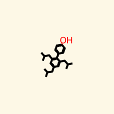 CC(C)Cc1cc(CC(C)C)c(-c2ccc(O)cc2)c(CC(C)C)c1